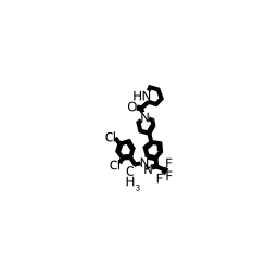 CC(c1ccc(Cl)cc1Cl)n1nc(C(F)(F)F)c2ccc(C3=CCN(C(=O)C4CCCCN4)CC3)cc21